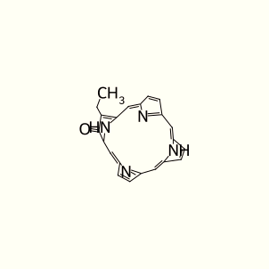 CCC1=C2C=C3C=CC(=N3)C=c3ccc([nH]3)=CC3=NC(=CC(N2)C1=O)C=C3